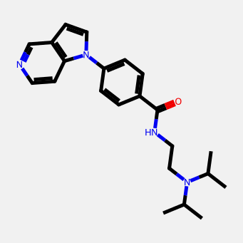 CC(C)N(CCNC(=O)c1ccc(-n2ccc3cnccc32)cc1)C(C)C